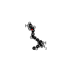 NC(=O)c1c(-c2ccc(Oc3ccccc3)cc2)nn2c1NCCC2C1CCN(C2CCN(C(=O)N3CCN(c4ccc5c(c4)C(=O)N(C4CCC(=O)NC4=O)C5=O)CC3)CC2)CC1